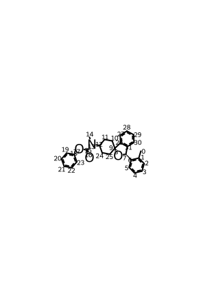 Cc1ccccc1[C@H]1OC2(CCC(N(C)C(=O)Oc3ccccc3)CC2)c2ccccc21